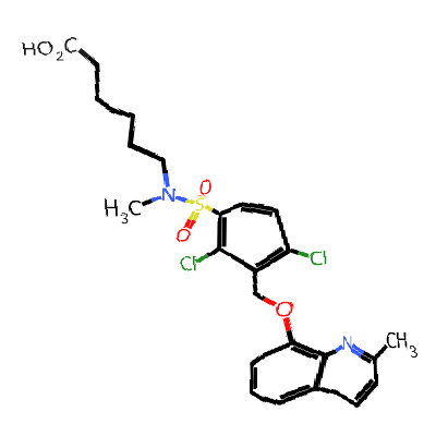 Cc1ccc2cccc(OCc3c(Cl)ccc(S(=O)(=O)N(C)CCCCCC(=O)O)c3Cl)c2n1